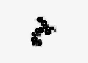 Nc1ncccc1-c1nc2ccc(-n3cccn3)nc2n1-c1ccc2c(c1)CC[C@@H]2NC(=O)c1ccc(Br)c(C2OCCO2)c1